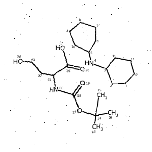 C1CCC(NC2CCCCC2)CC1.CC(C)(C)OC(=O)NC(CCO)C(=O)O